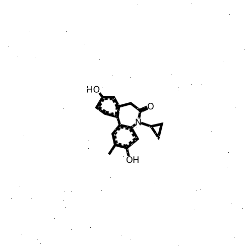 Cc1cc2c(cc1O)N(C1CC1)C(=O)Cc1cc(O)ccc1-2